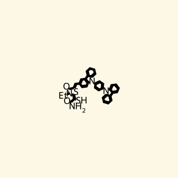 CCn1c(=O)/c(=C/c2ccc3c(c2)c2c(n3-c3ccc(-n4c5ccccc5c5ccccc54)cc3)=CCCC=2)s/c1=C(\S)C(N)=O